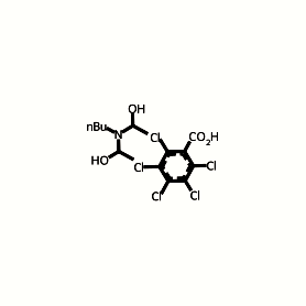 CCCCN(C(C)O)C(C)O.O=C(O)c1c(Cl)c(Cl)c(Cl)c(Cl)c1Cl